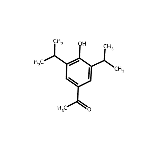 CC(=O)c1cc(C(C)C)c(O)c(C(C)C)c1